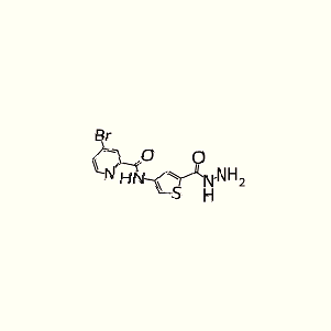 NNC(=O)c1cc(NC(=O)c2cc(Br)ccn2)cs1